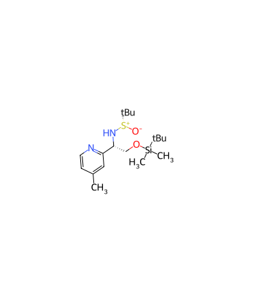 Cc1ccnc([C@@H](CO[Si](C)(C)C(C)(C)C)N[S@@+]([O-])C(C)(C)C)c1